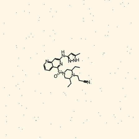 CCC1CN([S+]([O-])c2nc(Nc3cc(C)[nH]n3)cc3ncccc23)CC(CC)N1CCC#N